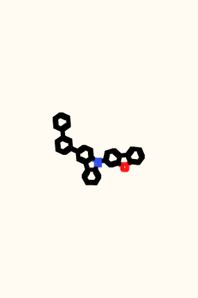 c1ccc(-c2cccc(-c3ccc4c(c3)c3ccccc3n4-c3ccc4c(c3)oc3ccccc34)c2)cc1